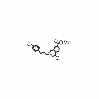 COC(=O)c1ccc2c(c1)CN(CCCc1ccc(Cl)cc1)CC2=O